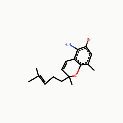 CC(C)=CCCC1(C)C=Cc2c(N)c(Br)cc(C)c2O1